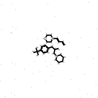 C=CC=CN1CCOCC1.CC(Cc1ccc(C(C)(C)C)cc1)CN1CCCCC1